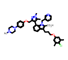 CC(=O)N1CCN(c2ccc(OCc3nn(C)c(C)c3-c3cccc4c(CCCOc5cc(C)c(Cl)c(C)c5)c(C(=O)O)n(Cc5cccnc5)c34)cc2)CC1